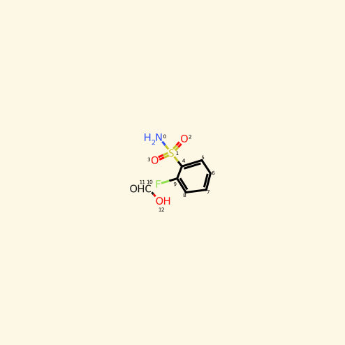 NS(=O)(=O)c1ccccc1F.O=CO